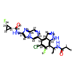 CCC(=O)NC(C)c1c(F)c(Cl)c(-c2cn3cc(NC(=O)[C@@H]4C[C@@H]4F)nc3cn2)c2cn[nH]c12